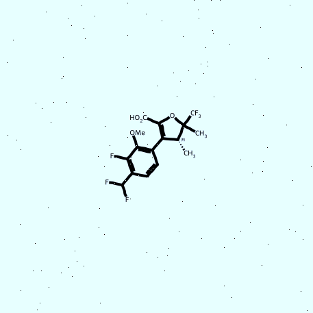 COc1c(C2=C(C(=O)O)OC(C)(C(F)(F)F)[C@@H]2C)ccc(C(F)F)c1F